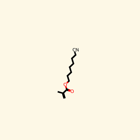 C=C(C)C(=O)OCCCCCCCC#N